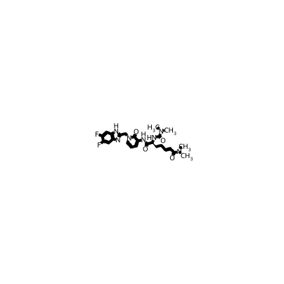 CN(C)C(=O)/C=C/CC[C@H](NC(=O)N(C)C)C(=O)Nc1cccn(Cc2nc3cc(F)c(F)cc3[nH]2)c1=O